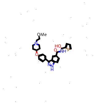 COCCN1CCC(Oc2ccc(-c3n[nH]c4ccc(C(=O)N[C@@H](O)c5cccs5)cc34)cc2)CC1